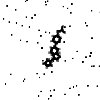 CC(C)Oc1ccc(-c2ccn3c(-c4cccs4)cnc3c2)cc1